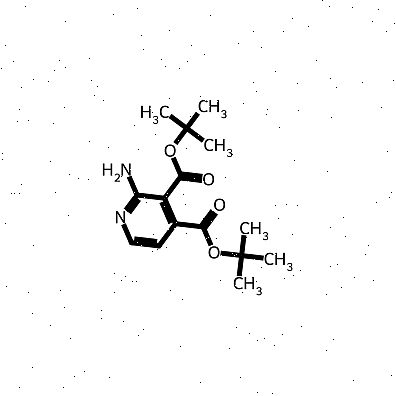 CC(C)(C)OC(=O)c1ccnc(N)c1C(=O)OC(C)(C)C